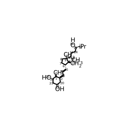 C=C1/C(=C\C=C\[C@@H]2CC[C@](C)([C@@H](C)CC[C@@H](O)C(C)C)C2=C)C[C@@H](O)C[C@@H]1O